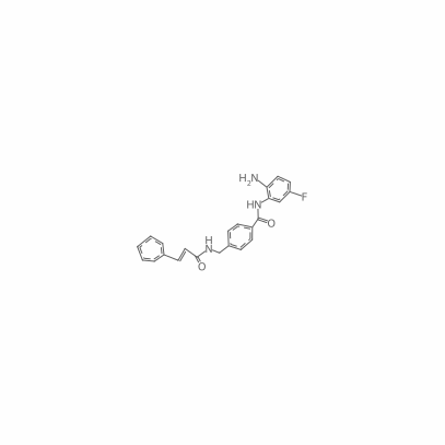 Nc1ccc(F)cc1NC(=O)c1ccc(CNC(=O)/C=C/c2ccccc2)cc1